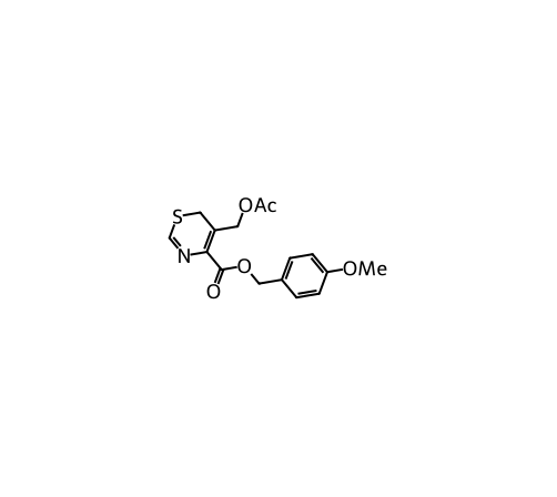 COc1ccc(COC(=O)C2=C(COC(C)=O)CSC=N2)cc1